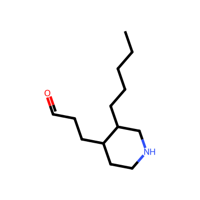 CCCCCC1CNCCC1CCC=O